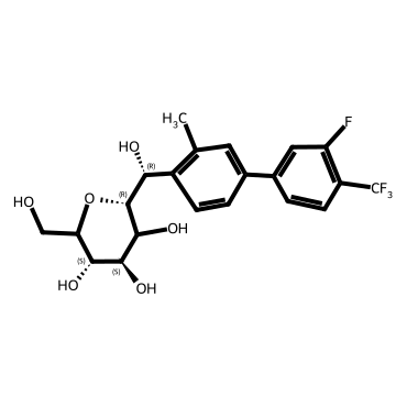 Cc1cc(-c2ccc(C(F)(F)F)c(F)c2)ccc1[C@@H](O)[C@H]1OC(CO)[C@@H](O)[C@H](O)C1O